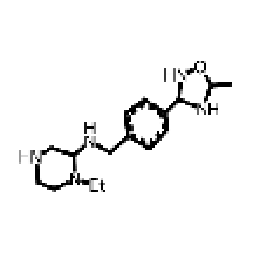 CCN1CCNCC1NCc1ccc(C2NOC(C)N2)cc1